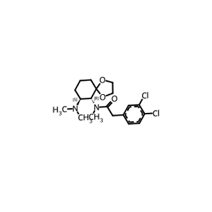 CN(C)[C@H]1CCCC2(OCCO2)[C@@H]1N(C)C(=O)Cc1ccc(Cl)c(Cl)c1